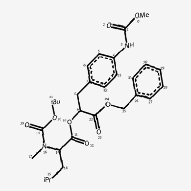 COC(=O)Nc1ccc(CC(OC(=O)C(CC(C)C)N(C)C(=O)OC(C)(C)C)C(=O)OCc2ccccc2)cc1